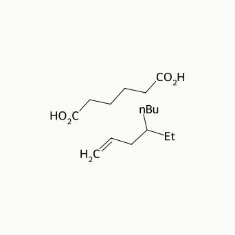 C=CCC(CC)CCCC.O=C(O)CCCCC(=O)O